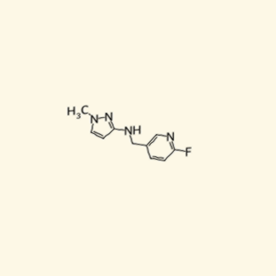 Cn1ccc(NCc2ccc(F)nc2)n1